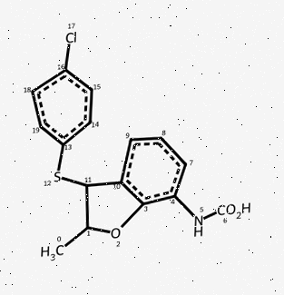 CC1Oc2c(NC(=O)O)cccc2C1Sc1ccc(Cl)cc1